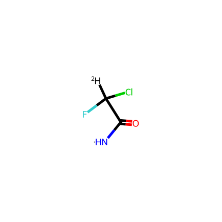 [2H]C(F)(Cl)C([NH])=O